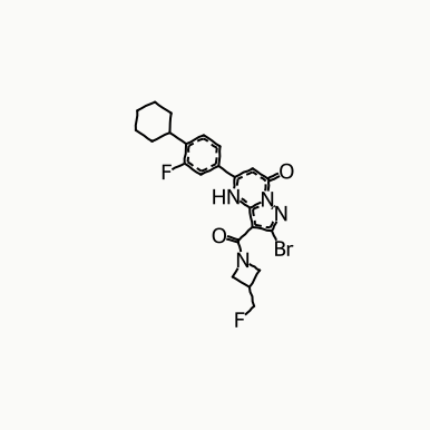 O=C(c1c(Br)nn2c(=O)cc(-c3ccc(C4CCCCC4)c(F)c3)[nH]c12)N1CC(CF)C1